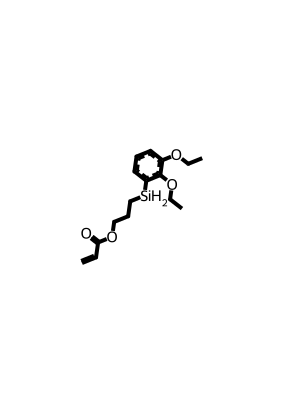 C=CC(=O)OCCC[SiH2]c1cccc(OCC)c1OCC